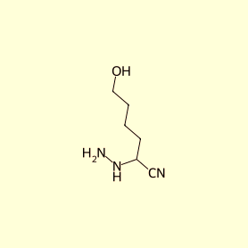 N#CC(CCCCO)NN